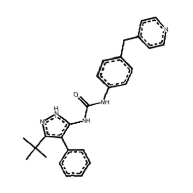 CC(C)(C)c1n[nH]c(NC(=O)Nc2ccc(Cc3ccncc3)cc2)c1-c1ccccc1